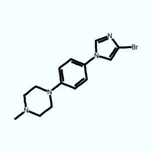 CN1CCN(c2ccc(-n3cnc(Br)c3)cc2)CC1